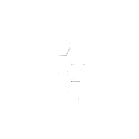 CC(O)=C(O)C(O)C(O)C(O)CO